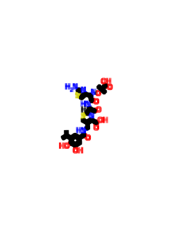 CC(C)c1cc(C(=O)NCC2=C(C(=O)O)N3C(=O)C(NC(=O)/C(=N\OC(C)(C)C(=O)O)c4csc(N)n4)[C@@H]3SC2)cc(O)c1O